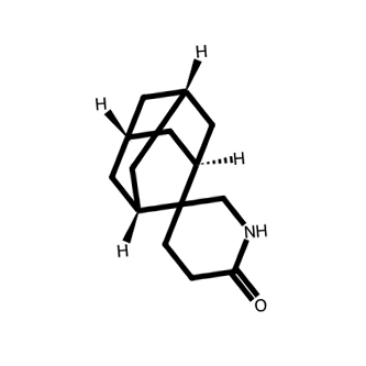 O=C1CCC2(CN1)[C@H]1C[C@H]3C[C@H](C1)C[C@H]2C3